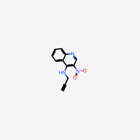 C#CCNc1c([N+](=O)[O-])cnc2ccccc12